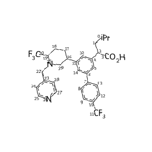 CC(C)CC(C(=O)O)c1cc(-c2ccc(C(F)(F)F)cc2)cc(C2CCC(C(F)(F)F)N(Cc3ccncc3)C2)c1